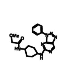 COCC(=O)NC1CCC(Nc2ncc3nnn(-c4ccccc4)c3n2)CC1